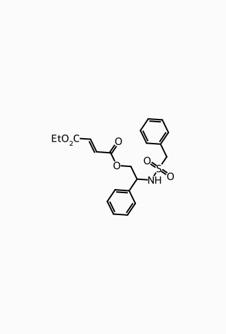 CCOC(=O)/C=C/C(=O)OCC(NS(=O)(=O)Cc1ccccc1)c1ccccc1